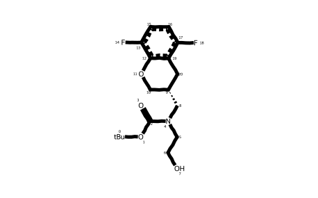 CC(C)(C)OC(=O)N(CCO)C[C@@H]1COc2c(F)ccc(F)c2C1